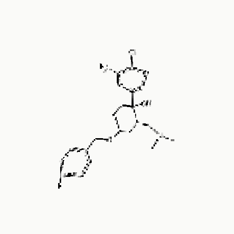 CN(C)CC1CC(OCc2ccc(F)cc2)CCC1(O)c1ccc(Cl)c(C(F)(F)F)c1